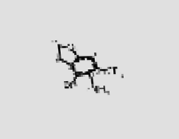 Nc1c(C(F)(F)F)cc2c(c1Br)CCO2